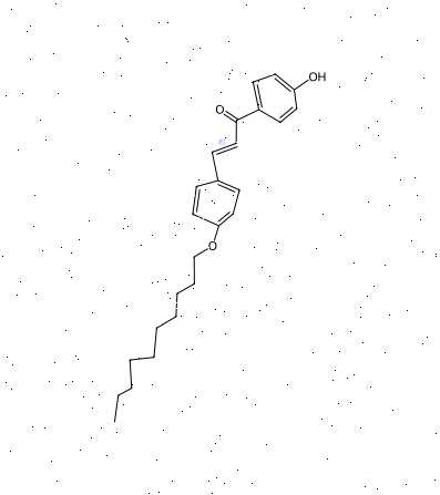 CCCCCCCCCCOc1ccc(/C=C/C(=O)c2ccc(O)cc2)cc1